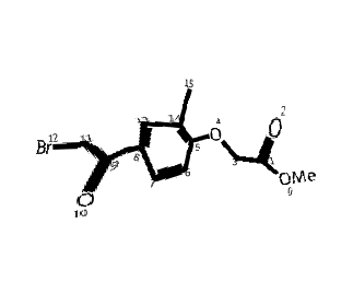 COC(=O)COc1ccc(C(=O)CBr)cc1C